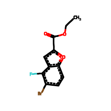 CCOC(=O)c1cc2c(F)c(Br)ccc2o1